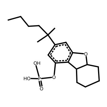 CCCCC(C)(C)c1cc2c(c(OP(=O)(O)O)c1)C1CCCCC1O2